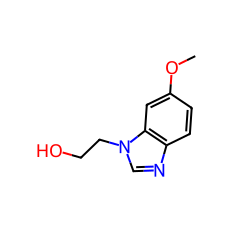 COc1ccc2ncn(CCO)c2c1